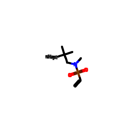 C=CS(=O)(=O)N(C)CC(C)(C)CCCCCCC